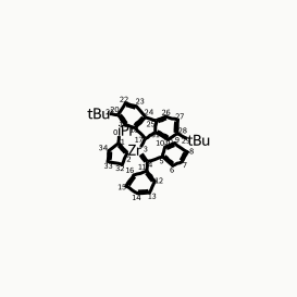 CC(C)C1=[C]([Zr](=[C](c2ccccc2)c2ccccc2)[CH]2c3cc(C(C)(C)C)ccc3-c3ccc(C(C)(C)C)cc32)CC=C1